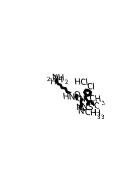 Cl.[2H]C([2H])(N)CCCCCCNC(=O)C[C@@H]1N=C(c2ccc(Cl)cc2)c2c(sc(C)c2C)-n2c(C)nnc21